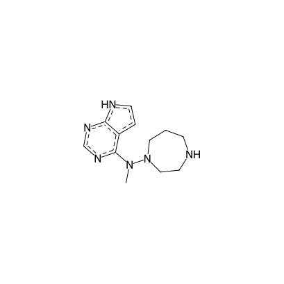 CN(c1ncnc2[nH]ccc12)N1CCCNCC1